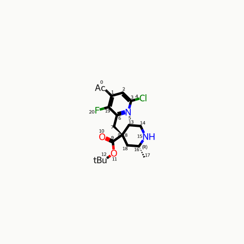 CC(=O)c1cc(Cl)nc(C[C@@]2(C(=O)OC(C)(C)C)CCN[C@H](C)C2)c1F